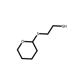 SCCSC1CCCCO1